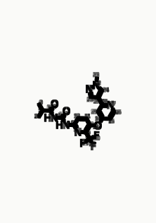 CC(C)C(=O)NC(=O)Nc1ccc(Oc2ccnc(-c3cnn(C)c3)c2)c(C(F)(F)F)n1